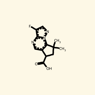 CC1(C)CC(C(=O)O)c2cnc3c(F)cnn3c21